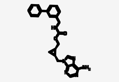 Nc1ncnc2c1ncn2C[C@H]1C[C@H]1COC(=O)NCc1cccc(-c2ccccc2)c1